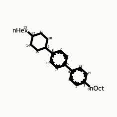 CCCCCCCCc1ccc(-c2ccc(C3CCC(CCCCCC)CC3)cc2)cc1